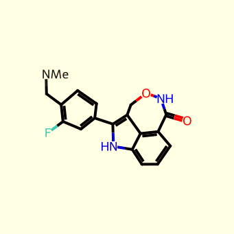 CNCc1ccc(-c2[nH]c3cccc4c3c2CONC4=O)cc1F